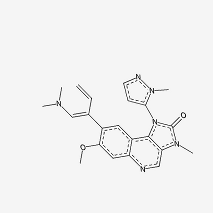 C=C/C(=C\N(C)C)c1cc2c(cc1OC)ncc1c2n(-c2ccnn2C)c(=O)n1C